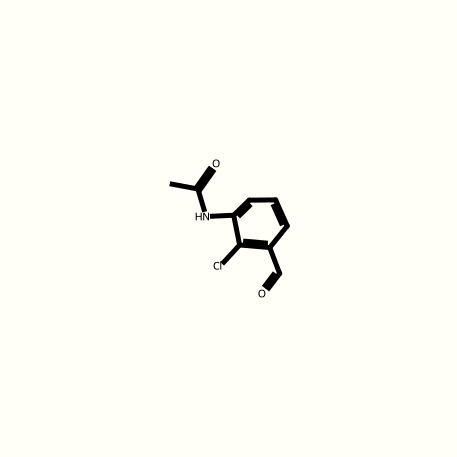 CC(=O)Nc1cccc(C=O)c1Cl